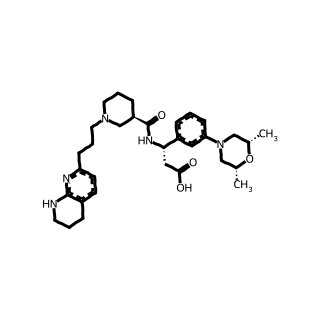 C[C@@H]1CN(c2cccc([C@H](CC(=O)O)NC(=O)[C@@H]3CCCN(CCCc4ccc5c(n4)NCCC5)C3)c2)C[C@H](C)O1